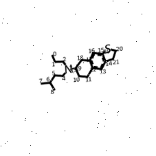 CCCN(CCC(C)C)[C@H]1CCc2cc3c(cc2C1)SCC3